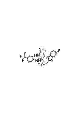 CCc1nc2cc(F)ccc2n1C1=CC(N)NC(Nc2ccc(C(F)(F)F)nc2)=N1